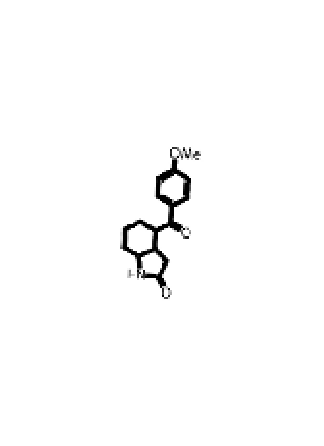 COc1ccc(C(=O)C2CCCC3NC(=O)CC32)cc1